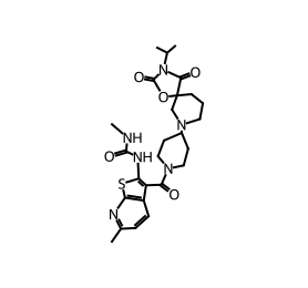 CNC(=O)Nc1sc2nc(C)ccc2c1C(=O)N1CCC(N2CCCC3(C2)OC(=O)N(C(C)C)C3=O)CC1